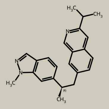 CC(C)c1cc2ccc(C[C@@H](C)c3ccc4cnn(C)c4c3)cc2cn1